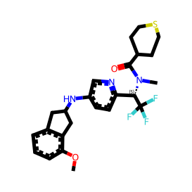 COc1cccc2c1CC(Nc1ccc([C@H](N(C)C(=O)C3CCSCC3)C(F)(F)F)nc1)C2